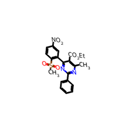 CCOC(=O)c1c(C)nc(-c2ccccc2)nc1-c1cc([N+](=O)[O-])ccc1S(C)(=O)=O